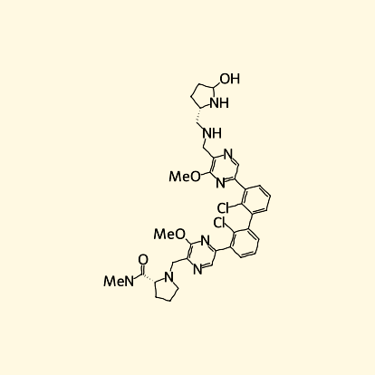 CNC(=O)[C@H]1CCCN1Cc1ncc(-c2cccc(-c3cccc(-c4cnc(CNC[C@@H]5CCC(O)N5)c(OC)n4)c3Cl)c2Cl)nc1OC